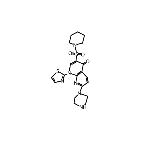 O=c1c(S(=O)(=O)N2CCCCC2)cn(-c2nccs2)c2nc(N3CCNCC3)ccc12